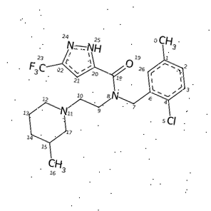 Cc1ccc(Cl)c(CN(CCN2CCCC(C)C2)C(=O)c2cc(C(F)(F)F)n[nH]2)c1